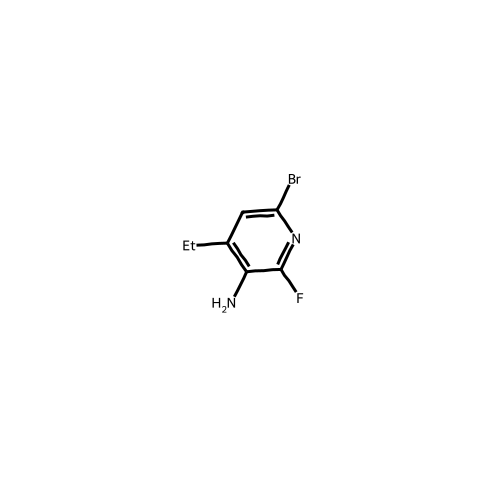 CCc1cc(Br)nc(F)c1N